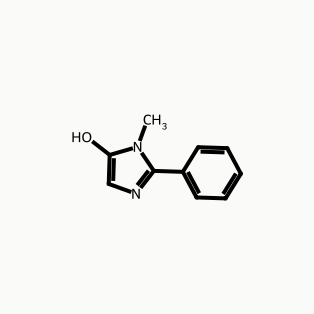 Cn1c(O)cnc1-c1ccccc1